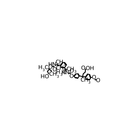 CCC(C)(CCO)OC(=O)NC(C)(C)c1cccc(C(C)(C)NC(=O)Oc2ccc(C(C)(CCC(=O)O)c3ccc(OC=O)cc3)cc2)c1